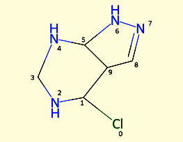 ClC1NCNC2NN=CC12